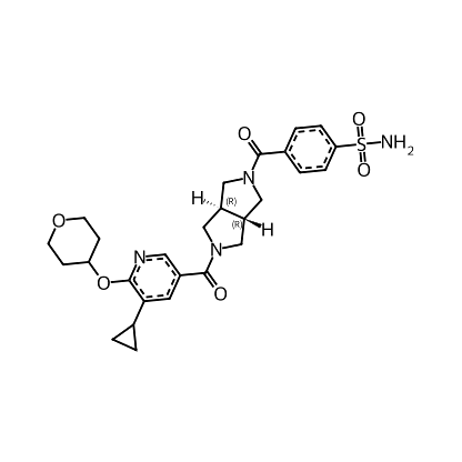 NS(=O)(=O)c1ccc(C(=O)N2C[C@@H]3CN(C(=O)c4cnc(OC5CCOCC5)c(C5CC5)c4)C[C@H]3C2)cc1